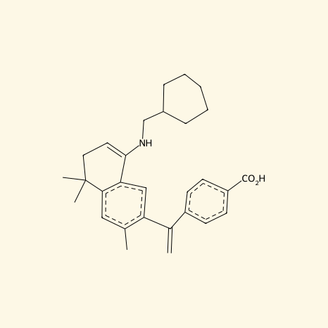 C=C(c1ccc(C(=O)O)cc1)c1cc2c(cc1C)C(C)(C)CC=C2NCC1CCCCC1